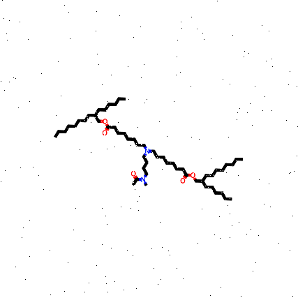 CCCCCCCCC(CCCCCC)COC(=O)CCCCCCCN(CCCCCCCC(=O)OCC(CCCCCC)CCCCCCCC)CCCCN(C)C(C)=O